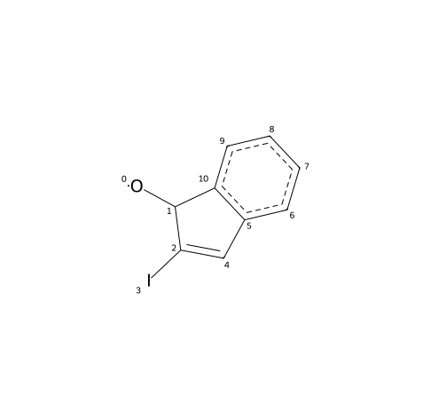 [O]C1C(I)=Cc2ccccc21